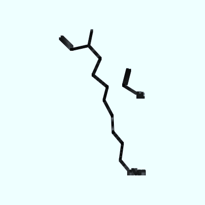 C=CC(C)CCCCCCCCCCCCCCCCC.C=CCC